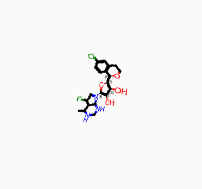 CC1NCNC2C1C(F)CN2[C@@H]1O[C@H]([C@@H]2OCCc3cc(Cl)ccc32)[C@@H](O)[C@H]1O